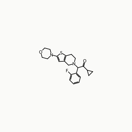 O=C(C1CC1)C(c1ccccc1F)N1CCc2sc(N3CCOCC3)cc2C1